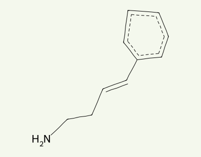 NCC/C=C/c1ccccc1